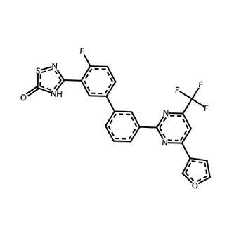 O=c1[nH]c(-c2cc(-c3cccc(-c4nc(-c5ccoc5)cc(C(F)(F)F)n4)c3)ccc2F)ns1